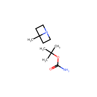 CC(C)(C)OC(N)=O.CC12CCN1CC2